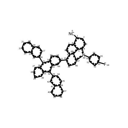 N#Cc1ccc2c3c1ccc1c(-c4ccc5c(-c6ccc7ccccc7c6)c6ccccc6c(-c6ccc7ccccc7c6)c5c4)ccc(c13)n2-c1ccc(F)cc1